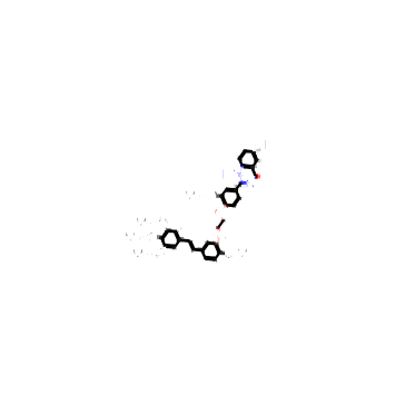 COc1cc(C2NC(=O)c3cc(C)ccc3N2)ccc1OCCOc1cc(C=Cc2cc(OC)c(OC)c(OC)c2)ccc1OC